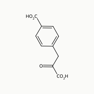 O=C(O)C(=O)Cc1ccc(C(=O)O)cc1